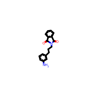 Nc1cccc(CCCN2C(=O)c3ccccc3C2=O)c1